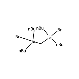 CCCC[Si](Br)(CCCC)C[Si](Br)(CCCC)CCCC